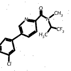 CC(N(C)C(=O)c1ccc(-c2cccc(Cl)c2)cn1)C(F)(F)F